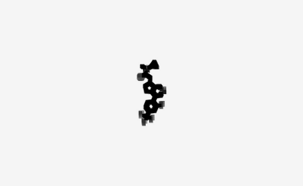 CN(C(=O)CC1CCc2c(-c3ccc(C(F)(F)F)cc3F)cncc21)C1CC1